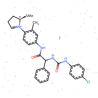 CS[C@@H]1CCC=[N+]1c1ccc(NC(=O)C(NC(=O)Nc2ccc(Cl)cc2)c2ccccc2)cc1C.[I-]